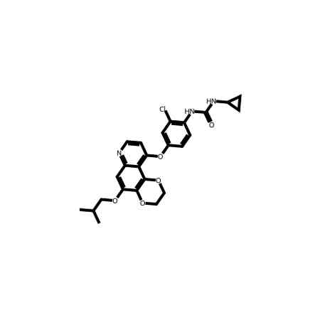 CC(C)COc1cc2nccc(Oc3ccc(NC(=O)NC4CC4)c(Cl)c3)c2c2c1OCCO2